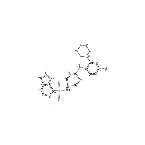 O=S(=O)(Nc1ccc(Oc2ccc(Cl)cc2C2CCCCC2)nc1)c1cccc2nonc12